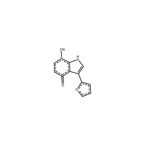 N#Cn1ccc(=O)c2c1[SH]C=C2c1ccco1